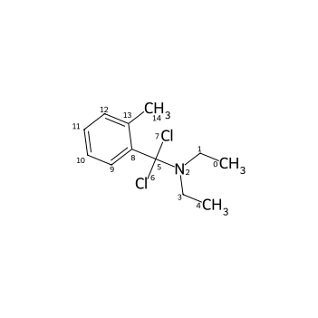 CCN(CC)C(Cl)(Cl)c1ccccc1C